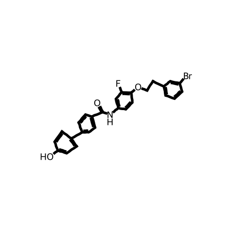 O=C(Nc1ccc(OCCc2cccc(Br)c2)c(F)c1)c1ccc(-c2ccc(O)cc2)cc1